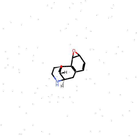 C1=CC2OC2C2=C1C[C@H]1NCC[C@@]23CCCC[C@@H]13